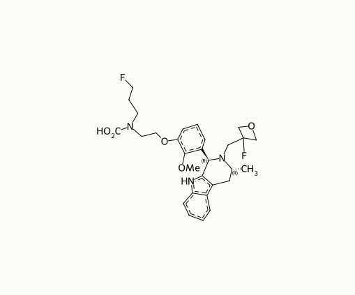 COc1c(OCCN(CCCF)C(=O)O)cccc1[C@@H]1c2[nH]c3ccccc3c2C[C@@H](C)N1CC1(F)COC1